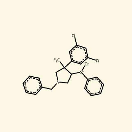 [O-][S+](c1ccccc1)C1CN(Cc2ccccc2)CC1(c1cc(Cl)cc(Cl)c1)C(F)(F)F